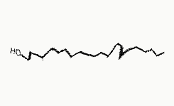 CCCCCCCCCCCCCCC[CH]CCO